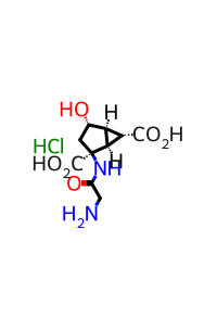 Cl.NCC(=O)N[C@@]1(C(=O)O)C[C@H](O)[C@H]2[C@H](C(=O)O)[C@H]21